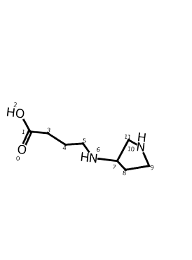 O=C(O)CCCNC1CCNC1